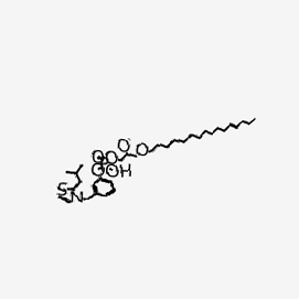 CCCCCCCCCCCCCCCCOCC(COP(=O)(O)Oc1cccc(CN2C=CSC2CC(C)C)c1)OC